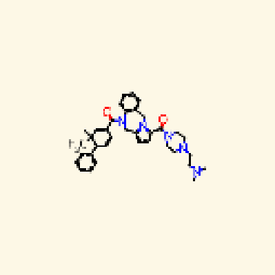 CN(C)CCN1CCN(C(=O)c2ccc3n2Cc2ccccc2N(C(=O)C2=CC(C)(C(F)(F)F)C(c4ccccc4)C=C2)C3)CC1